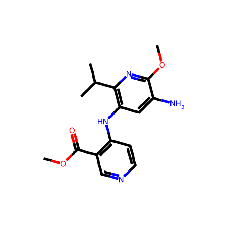 COC(=O)c1cnccc1Nc1cc(N)c(OC)nc1C(C)C